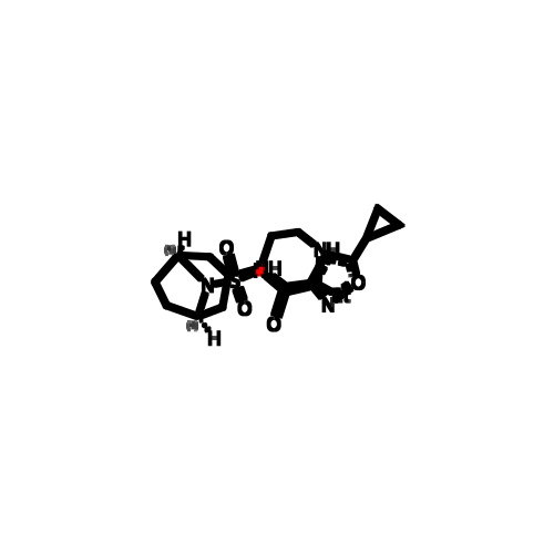 CCC1CN(S(=O)(=O)N2[C@@H]3CC[C@H]2C[C@@H](NC(=O)c2cc(C4CC4)on2)C3)CCN1